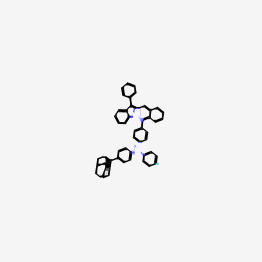 Fc1ccc(N(c2ccc(-c3c4ccccc4cc4c(-c5ccccc5)c5ccccc5n34)cc2)c2ccc(C3C4CC5CC(C4)CC3C5)cc2)cc1